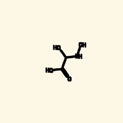 O=C(O)C(O)NO